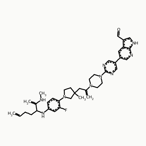 C=CCCC(Nc1ccc(N2CCC(C)(CC(=C)N3CCN(c4ncc(-c5cnc6[nH]cc(C=O)c6c5)cn4)CC3)C2)c(F)c1)C(=C)NC